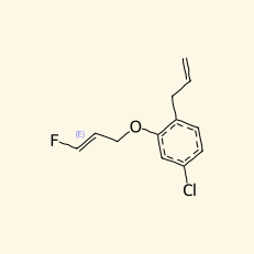 C=CCc1ccc(Cl)cc1OC/C=C/F